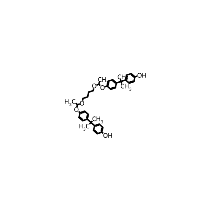 CC(OCCCCOC(C)Oc1ccc(C(C)(C)c2ccc(O)cc2)cc1)Oc1ccc(C(C)(C)c2ccc(O)cc2)cc1